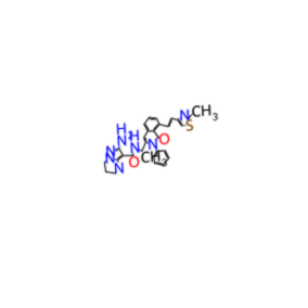 Cc1nc(/C=C/c2cccc3cc(C(C)NC(=O)c4c(N)nn5c4N=CCC5)n(-c4ccccc4)c(=O)c23)cs1